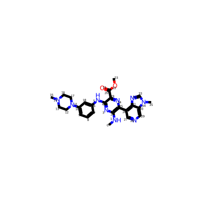 CNc1nc(Nc2cccc(N3CCN(C)CC3)c2)c(C(=O)OC)nc1-c1cncc2c1ncn2C